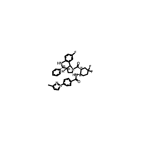 Cc1ccn(-c2ccc(C(=O)N[C@@H]3CCC(F)(F)C[C@@H]3C(=O)N3CC[C@H]4C3c3cc(F)ccc3N[C@H]4c3ccccc3)cc2)n1